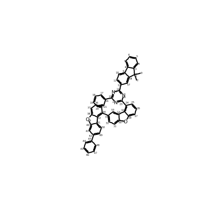 CC1(C)c2ccccc2-c2ccc(-c3nc(-c4ccccc4)nc(-c4cccc5oc6ccc(-c7cccc8oc9cc(-c%10ccccc%10)ccc9c78)cc6c45)n3)cc21